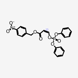 O=C(/C=C\OP(=O)(Oc1ccccc1)Oc1ccccc1)OCc1ccc([N+](=O)[O-])cc1